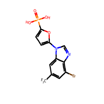 O=P(O)(O)c1ccc(-n2cnc3c(Br)cc(C(F)(F)F)cc32)o1